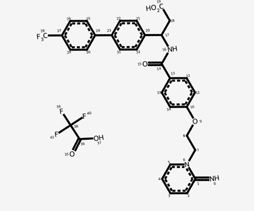 N=c1ccccn1CCOc1ccc(C(=O)NC(CC(=O)O)c2ccc(-c3ccc(C(F)(F)F)cc3)cc2)cc1.O=C(O)C(F)(F)F